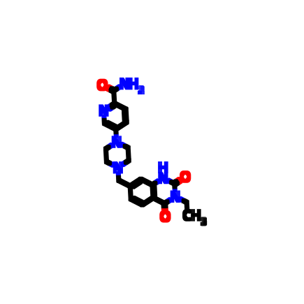 CCn1c(=O)[nH]c2cc(CN3CCN(c4ccc(C(N)=O)nc4)CC3)ccc2c1=O